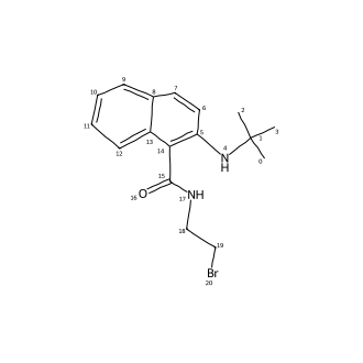 CC(C)(C)Nc1ccc2ccccc2c1C(=O)NCCBr